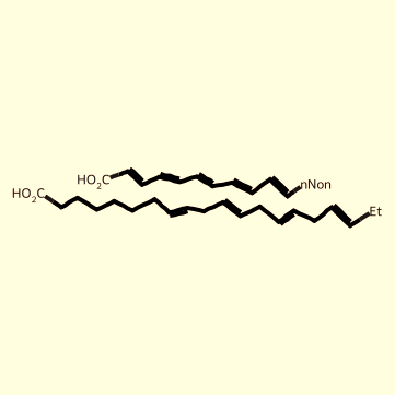 CCC=CCC=CCC=CCC=CCCCCCCC(=O)O.CCCCCCCCCC=CC=CC=CC=CC=CC(=O)O